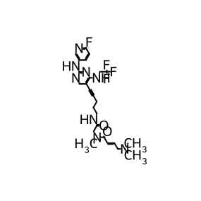 CN(C)C/C=C/C(=O)N(C)CC(=O)NCCCC#Cc1cnc(Nc2ccc(F)nc2)nc1NCC(F)(F)F